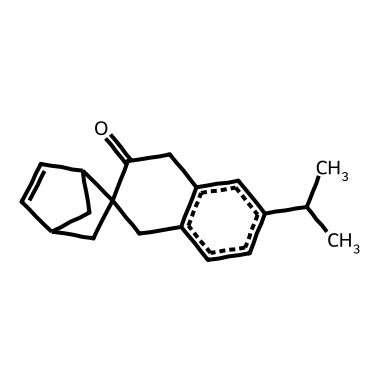 CC(C)c1ccc2c(c1)CC(=O)C1(C2)CC2C=CC1C2